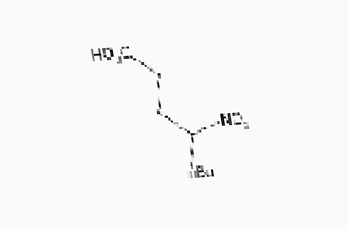 CCCCC(CCC(=O)O)[N+](=O)[O-]